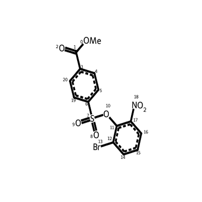 COC(=O)c1ccc(S(=O)(=O)Oc2c(Br)cccc2[N+](=O)[O-])cc1